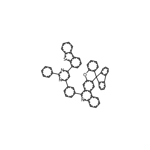 c1ccc(-c2nc(-c3cccc(-c4nc5ccccc5c5cc6c(cc45)Oc4ccccc4C64c5ccccc5-c5ccccc54)c3)cc(-c3cccc4c3sc3ccccc34)n2)cc1